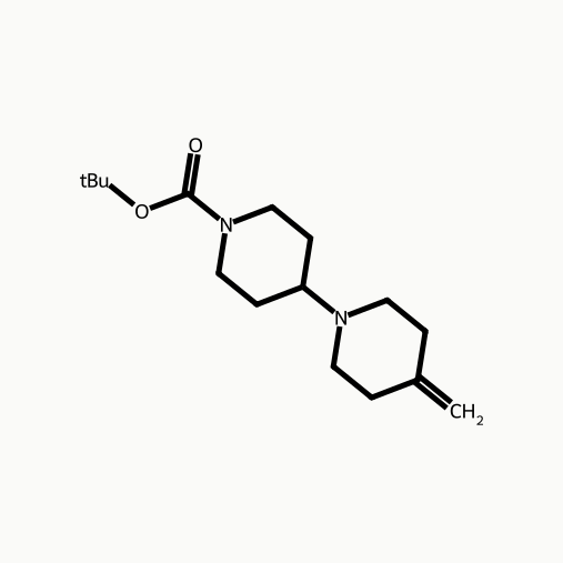 C=C1CCN(C2CCN(C(=O)OC(C)(C)C)CC2)CC1